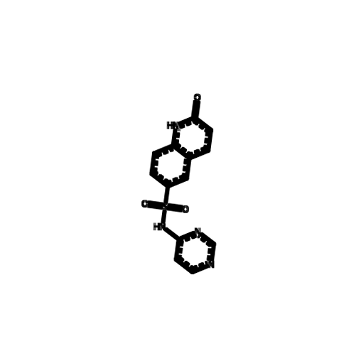 O=c1ccc2cc(S(=O)(=O)Nc3ccncn3)ccc2[nH]1